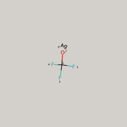 [Ag].[O]C(F)(F)F